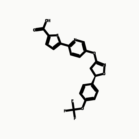 O=C(O)c1ccc(-c2ccc(OC3=NO[C@@H](c4ccc(OC(F)(F)F)cc4)C3)cn2)s1